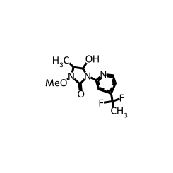 CON1C(=O)N(c2cc(C(C)(F)F)ccn2)C(O)C1C